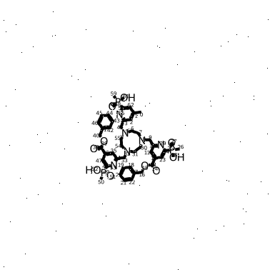 Cc1cc(CN2CCN(Cc3cc(C(=O)OCc4ccccc4)cc(P(C)(=O)O)n3)CCN(Cc3cc(C(=O)OCc4ccccc4)cc(P(C)(=O)O)n3)CC2)nc(P(C)(=O)O)c1